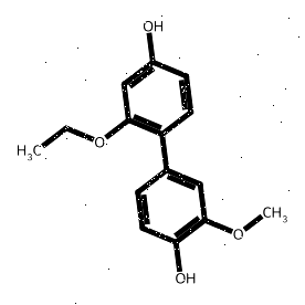 CCOc1cc(O)ccc1-c1ccc(O)c(OC)c1